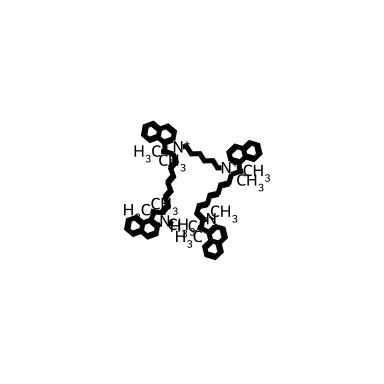 CN1C(=CC=CC=CC=CC2=[N+](CCCCCC[N+]3=C(C=CC=CC=CC=C4N(C)c5ccc6ccccc6c5C4(C)C)C(C)(C)c4c3ccc3ccccc43)c3ccc4ccccc4c3C2(C)C)C(C)(C)c2c1ccc1ccccc21